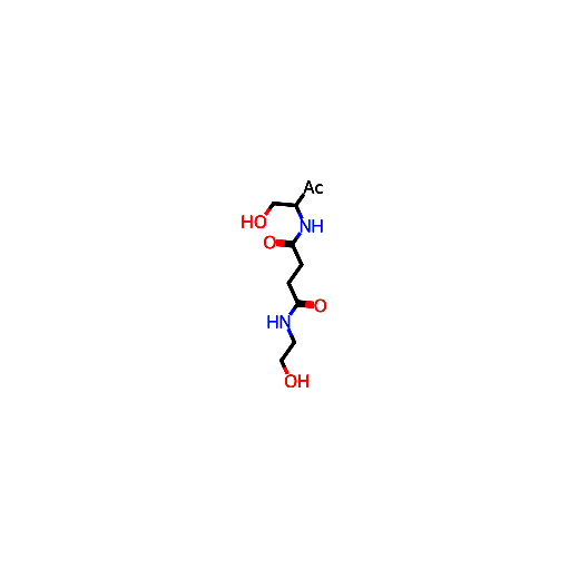 CC(=O)C(CO)NC(=O)CCC(=O)NCCO